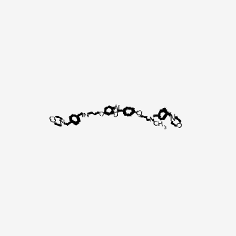 CN(CCCOc1ccc(-c2nc3ccc(OCCCNCc4ccc(CN5CCOCC5)cc4)cc3o2)cc1)Cc1ccc(CN2CCOCC2)cc1